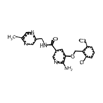 Cc1cnc(CNC(=O)c2cnc(N)c(OCc3c(Cl)cccc3Cl)c2)cn1